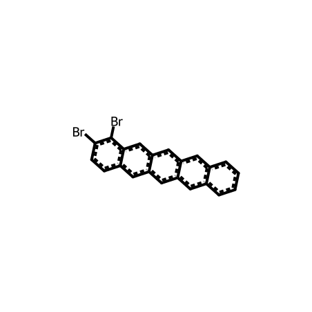 Brc1ccc2cc3cc4cc5ccccc5cc4cc3cc2c1Br